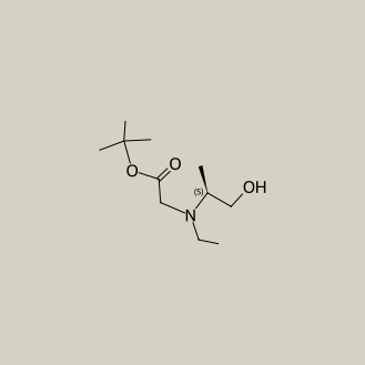 CCN(CC(=O)OC(C)(C)C)[C@@H](C)CO